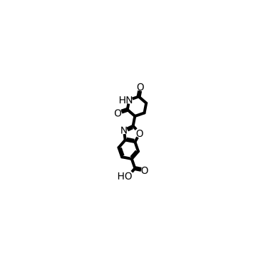 O=C1CCC(c2nc3ccc(C(=O)O)cc3o2)C(=O)N1